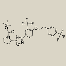 CC(C)(C)OC(=O)N1CCCC1c1nc(-c2ccc(OCCc3ccc(C(F)(F)F)cc3)c(C(F)(F)F)c2)no1